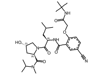 CC(C)C[C@@H](NC(=O)c1cc(C#N)ccc1OCC(=O)NC(C)(C)C)C(=O)N1C[C@@H](O)C[C@@H]1C(=O)N(C)C(C)C